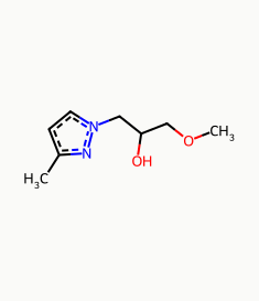 COCC(O)Cn1ccc(C)n1